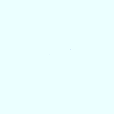 CC(O)CC(C(O)C=O)N(C)C